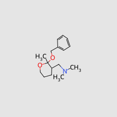 CN(C)CC1CCCOC1(C)OCc1ccccc1